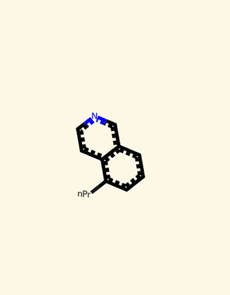 CCCc1cccc2cnccc12